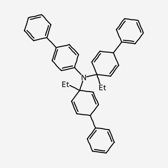 CCC1(N(c2ccc(-c3ccccc3)cc2)C2(CC)C=CC(c3ccccc3)C=C2)C=CC(c2ccccc2)C=C1